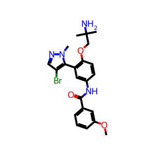 COc1cccc(C(=O)Nc2ccc(OCC(C)(C)N)c(-c3c(Br)cnn3C)c2)c1